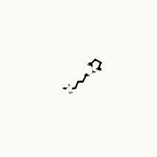 C=CS(=O)(=O)CCCC(=O)ON1C(=O)CCC1=O